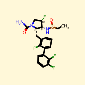 CC[S+]([O-])N[C@H]1[C@@H](F)CN(C(N)=O)[C@H]1Cc1cccc(-c2cccc(F)c2F)c1F